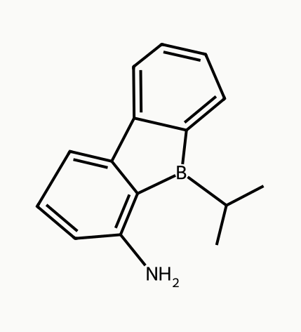 CC(C)B1c2ccccc2-c2cccc(N)c21